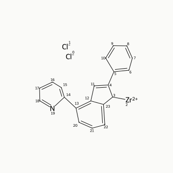 [Cl-].[Cl-].[Zr+2][CH]1C(c2ccccc2)=Cc2c(-c3ccccn3)cccc21